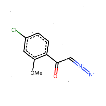 COc1cc(Cl)ccc1C(=O)C=[N+]=[N-]